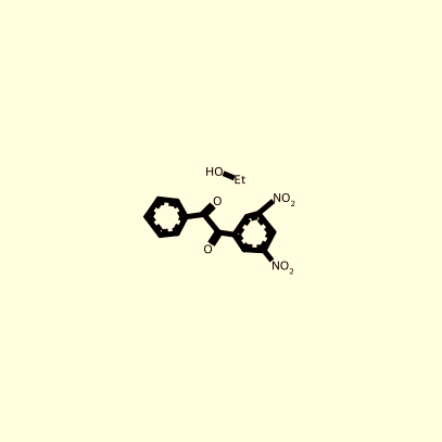 CCO.O=C(C(=O)c1cc([N+](=O)[O-])cc([N+](=O)[O-])c1)c1ccccc1